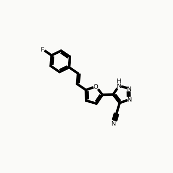 N#Cc1nn[nH]c1-c1ccc(C=Cc2ccc(F)cc2)o1